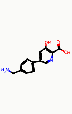 NCc1ccc(-c2cnc(C(=O)O)c(O)c2)cc1